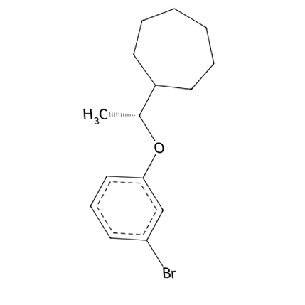 C[C@@H](Oc1cccc(Br)c1)C1CCCCCC1